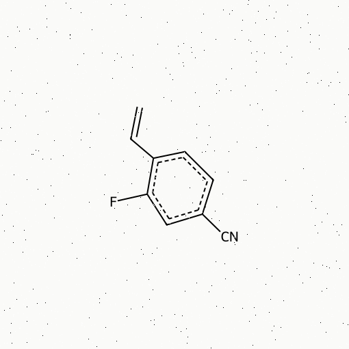 C=Cc1ccc(C#N)cc1F